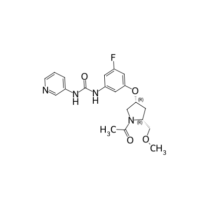 COC[C@H]1C[C@@H](Oc2cc(F)cc(NC(=O)Nc3cccnc3)c2)CN1C(C)=O